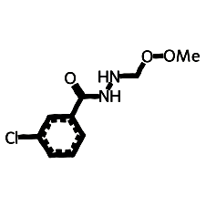 COOCNNC(=O)c1cccc(Cl)c1